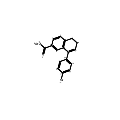 COC(=O)c1ccc2c(c1)C(c1ccc(O)cc1)=CCC2